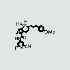 COc1ccc(CCC[C@H]2CCc3c(cn(C)c3C(=O)Nc3cc(F)nc(C#N)c3)S(=N)N2)cc1